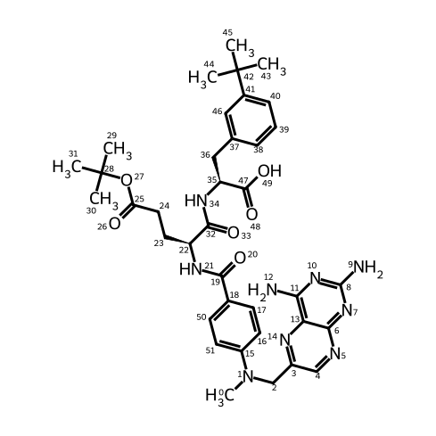 CN(Cc1cnc2nc(N)nc(N)c2n1)c1ccc(C(=O)N[C@@H](CCC(=O)OC(C)(C)C)C(=O)N[C@@H](Cc2cccc(C(C)(C)C)c2)C(=O)O)cc1